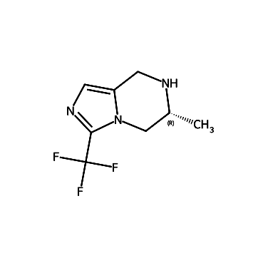 C[C@@H]1Cn2c(cnc2C(F)(F)F)CN1